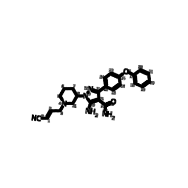 N#CC=CCN1CCCC(n2nc(-c3ccc(Oc4ccccc4)cc3)c(C(N)=O)c2N)C1